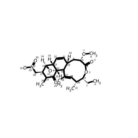 CC[C@H]1OC(=O)[C@@H](OC)C[C@H]2C=C[C@H]3[C@H]4O[C@]2(/C(C)=C/[C@H]1C)[C@@H]3C(=O)C(C)[C@H]4C[N+](=O)[O-]